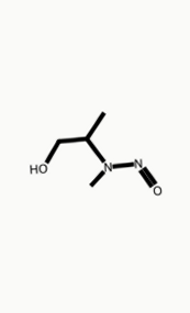 CC(CO)N(C)N=O